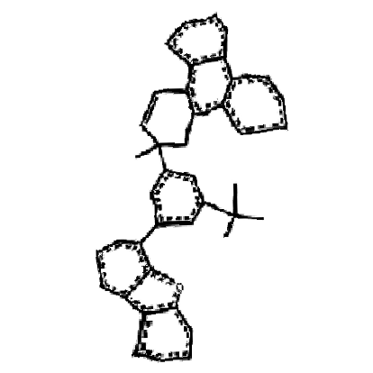 CC(C)(C)c1cc(-c2cccc3c2oc2ccccc23)cc(C2(C)C=Cc3c(c4ccccc4c4ccccc34)C2)c1